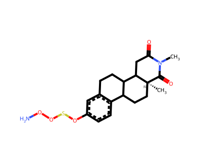 CN1C(=O)CC2C3CCc4cc(OSOON)ccc4C3CC[C@]2(C)C1=O